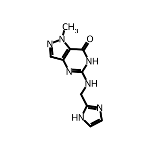 Cn1ncc2nc(NCc3ncc[nH]3)[nH]c(=O)c21